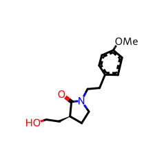 COc1ccc(CCN2CC[C@@H](CCO)C2=O)cc1